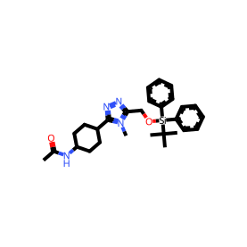 CC(=O)NC1CCC(c2nnc(CO[Si](c3ccccc3)(c3ccccc3)C(C)(C)C)n2C)CC1